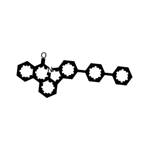 O=c1c2ccccc2c2cccc3c4cc(-c5ccc(-c6ccccc6)cc5)ccc4n1c23